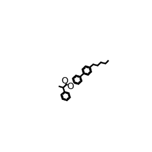 CCCCCc1ccc(-c2ccc(OC(=O)C(C)c3ccccc3)cc2)cc1